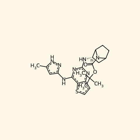 Cc1cc(Nc2nc(N[C@H]3CC4CCC3N4C(=O)OC(C)(C)C)nc3ccsc23)n[nH]1